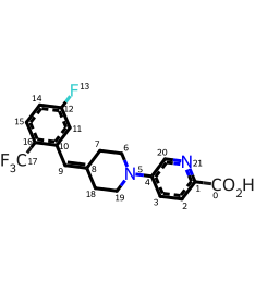 O=C(O)c1ccc(N2CCC(=Cc3cc(F)ccc3C(F)(F)F)CC2)cn1